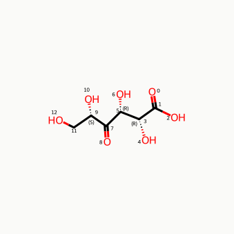 O=C(O)[C@H](O)[C@@H](O)C(=O)[C@@H](O)CO